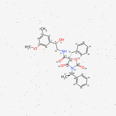 COc1cc(C)cc(C(O)CNC(=O)[C@@]2(Cc3ccccc3)OC(=O)N([C@H](C)c3ccccc3)C2=O)c1